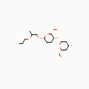 CCCCCCCCCCCCOC(C)CO[C@H]1O[C@H](CO)[C@@H](O[C@H]2O[C@H](CO)[C@@H](O)[C@H](O)[C@H]2O)[C@H](O)[C@H]1O